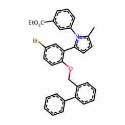 CCOC(=O)c1cccc(-n2c(C)ccc2-c2cc(Br)ccc2OCc2ccccc2-c2ccccc2)c1